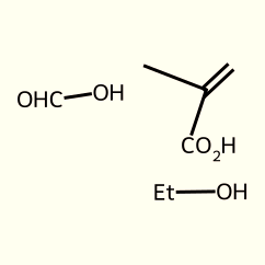 C=C(C)C(=O)O.CCO.O=CO